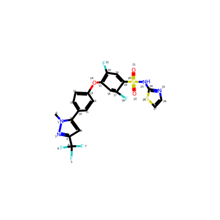 Cn1nc(C(F)(F)F)cc1-c1ccc(Oc2cc(F)c(S(=O)(=O)Nc3nccs3)cc2F)cc1